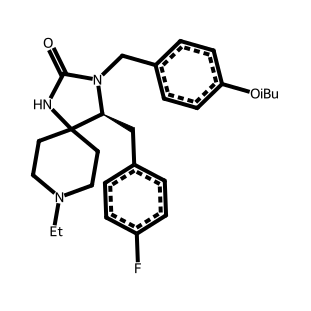 CCN1CCC2(CC1)NC(=O)N(Cc1ccc(OCC(C)C)cc1)[C@H]2Cc1ccc(F)cc1